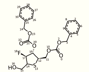 O=C(OCc1ccccc1)OC[C@H]1SC(CO)[C@@H](F)[C@@H]1OC(=O)OCc1ccccc1